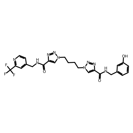 O=C(NCc1cccc(O)c1)c1cn(CCCCn2cc(C(=O)NCc3ccnc(C(F)(F)F)c3)nn2)nn1